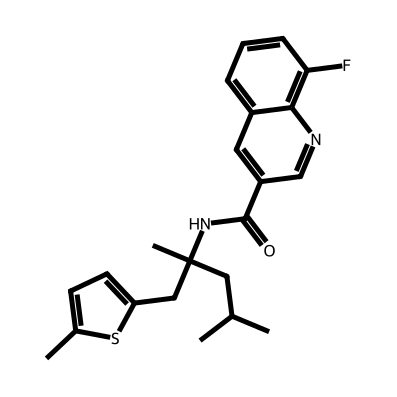 Cc1ccc(CC(C)(CC(C)C)NC(=O)c2cnc3c(F)cccc3c2)s1